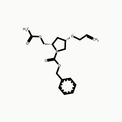 C=CCO[C@H]1C[C@@H](COC(C)=O)N(C(=O)OCc2ccccc2)C1